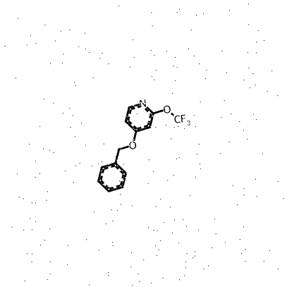 FC(F)(F)Oc1cc(OCc2ccccc2)ccn1